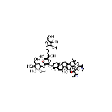 C/C=C(/C)C(=O)O[C@H]1[C@H](OC(=O)/C(C)=C\C)[C@@]2(CO)C(CC1(C)C)C1=CCC3[C@@]4(C)CC[C@H](O[C@H](OC(C(=O)O)[C@@H](O)CCO[C@@H]5O[C@@H](CO)C(O)[C@@H]5O)[C@H](C)O[C@@H]5CC(CO)[C@H](O)C(O)[C@@H]5O)C(C)(C)C4CC[C@@]3(C)[C@]1(C)[C@@H](O)[C@H]2O